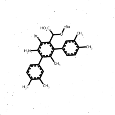 Cc1ccc(-c2c(C)c(-c3ccc(C)c(C)c3)c(C(OC(C)(C)C)C(=O)O)c(Br)c2N)cc1C